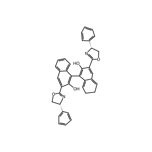 Oc1c(C2=N[C@H](c3ccccc3)CO2)cc2c(c1-c1c(O)c(C3=N[C@H](c4ccccc4)CO3)cc3ccccc13)=CCCC=2